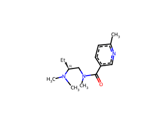 CC[C@@H](CN(C)C(=O)c1ccc(C)nc1)N(C)C